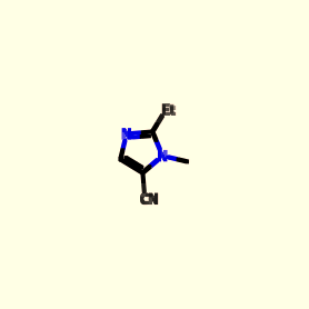 CCc1ncc(C#N)n1C